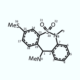 CNC1c2ccccc2N(C)S(=O)(=O)c2cc(SC)ccc21